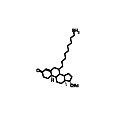 BCCCCCCCCC[C@@H]1CC2=CC(=O)CC[C@@H]2C2CC[C@@]3(C)C(CC[C@@H]3OC(C)=O)C21